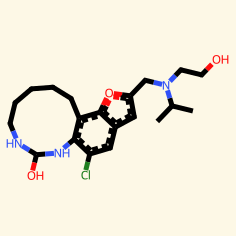 CC(C)N(CCO)Cc1cc2cc(Cl)c3c(c2o1)CCCCCNC(O)N3